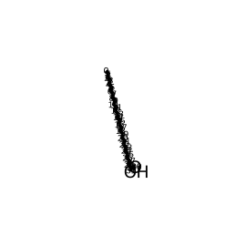 CCC=CCC=CCC=CCC=CCC=CCC=CCCCCCCCCCCC(=O)O